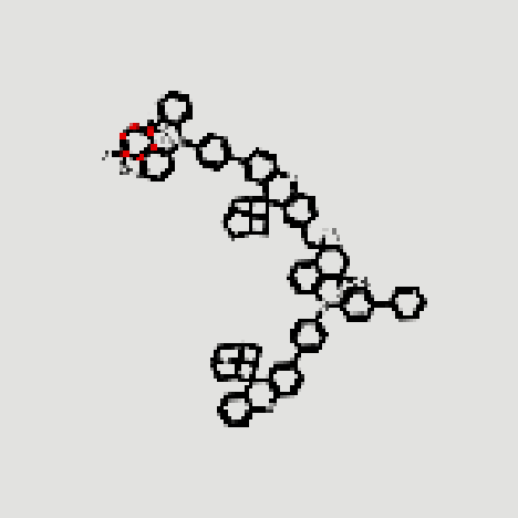 CC1(C)CCC(C)(C)c2c(N(c3ccc(-c4ccc5c(c4)C4(c6cc(CC7(C)CCC(C)(C)c8c(N(c9ccc(-c%10ccccc%10)cc9)c9ccc(-c%10ccc%11c(c%10)C%10(c%12ccccc%12O%11)C%11CC%12CC%13CC%10C%13%11C%12)cc9)cccc87)ccc6O5)C5CC6CC7CC4C75C6)cc3)c3ccccc3-c3ccccc3)cccc21